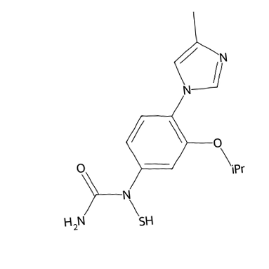 Cc1cn(-c2ccc(N(S)C(N)=O)cc2OC(C)C)cn1